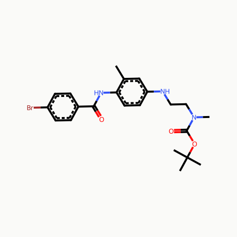 Cc1cc(NCCN(C)C(=O)OC(C)(C)C)ccc1NC(=O)c1ccc(Br)cc1